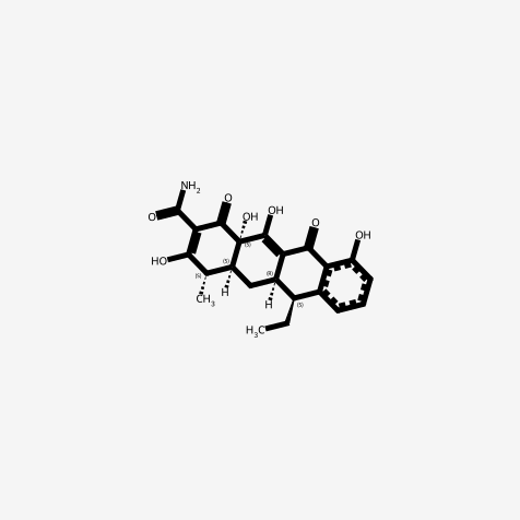 CC[C@@H]1c2cccc(O)c2C(=O)C2=C(O)[C@]3(O)C(=O)C(C(N)=O)=C(O)[C@@H](C)[C@@H]3C[C@@H]21